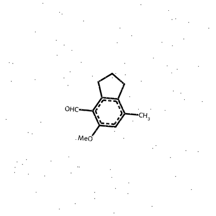 COc1cc(C)c2c(c1C=O)CCC2